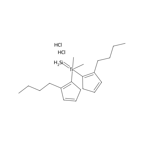 CCCCC1=[C]([Ti]([CH3])([CH3])(=[SiH2])[C]2=C(CCCC)C=CC2)CC=C1.Cl.Cl